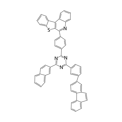 c1cc(-c2ccc3c(ccc4ccccc43)c2)cc(-c2nc(-c3ccc(-c4nc5ccccc5c5c4sc4ccccc45)cc3)nc(-c3ccc4ccccc4c3)n2)c1